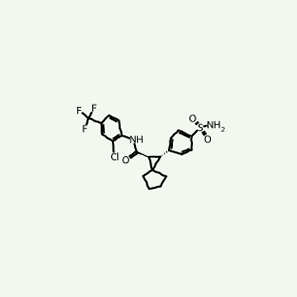 NS(=O)(=O)c1ccc([C@H]2[C@H](C(=O)Nc3ccc(C(F)(F)F)cc3Cl)C23CCCC3)cc1